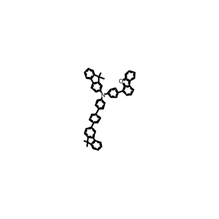 CC1(C)c2ccccc2-c2cc(-c3ccc(-c4ccc(N(c5ccc(-c6cccc7c6oc6ccccc67)cc5)c5ccc6c(c5)C(C)(C)c5ccccc5-6)cc4)cc3)ccc21